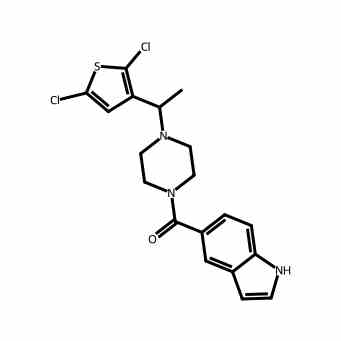 CC(c1cc(Cl)sc1Cl)N1CCN(C(=O)c2ccc3[nH]ccc3c2)CC1